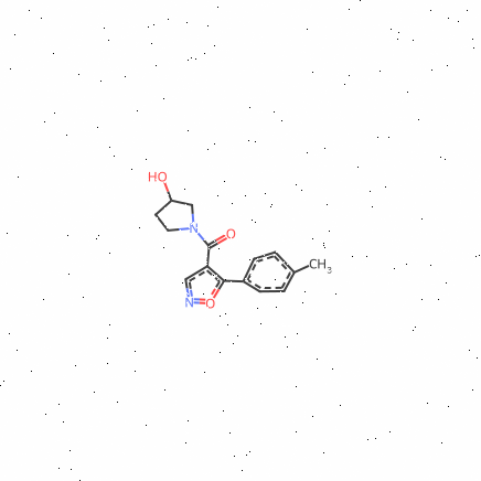 Cc1ccc(-c2oncc2C(=O)N2CCC(O)C2)cc1